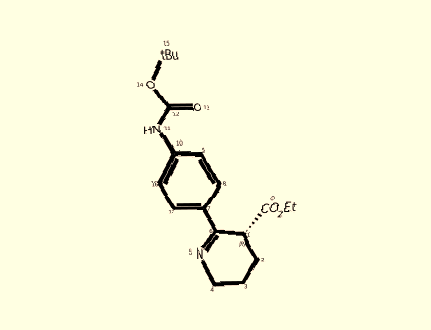 CCOC(=O)[C@@H]1CCCN=C1c1ccc(NC(=O)OC(C)(C)C)cc1